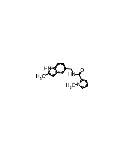 Cc1cc2cc(CNC(=O)c3cccn3C)ccc2[nH]1